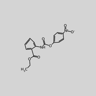 CCOC(=O)c1ccccc1NC(=O)Oc1ccc([N+](=O)[O-])cc1